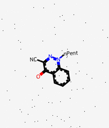 CCCCCn1nc(C#N)c(=O)c2ccccc21